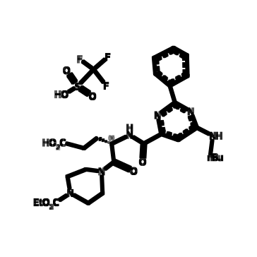 CCCCNc1cc(C(=O)N[C@@H](CCC(=O)O)C(=O)N2CCN(C(=O)OCC)CC2)nc(-c2ccccc2)n1.O=S(=O)(O)C(F)(F)F